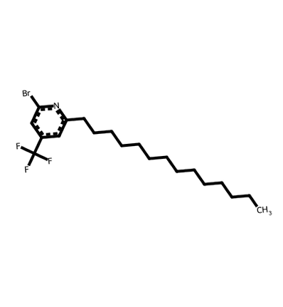 CCCCCCCCCCCCCCc1cc(C(F)(F)F)cc(Br)n1